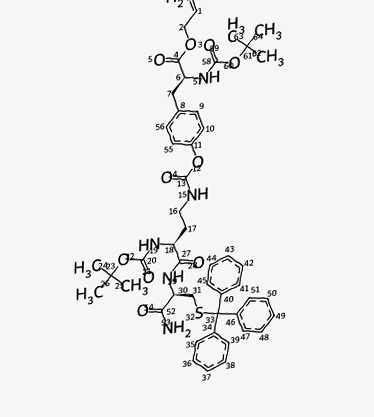 C=CCOC(=O)[C@H](Cc1ccc(OC(=O)NCC[C@H](NC(=O)OC(C)(C)C)C(=O)N[C@@H](CSC(c2ccccc2)(c2ccccc2)c2ccccc2)C(N)=O)cc1)NC(=O)OC(C)(C)C